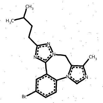 Cc1ncn2c1Cn1nc(CCC(C)C)nc1-c1cc(Br)ccc1-2